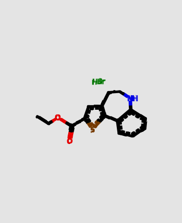 Br.CCOC(=O)c1cc2c(s1)-c1ccccc1NCC2